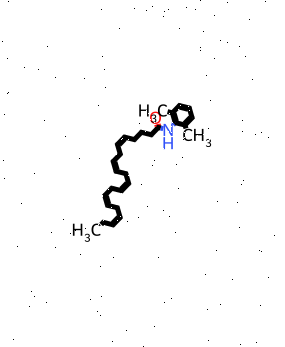 CC/C=C\C/C=C\C/C=C\C/C=C\C/C=C\CCCC(=O)Nc1c(C)cccc1C